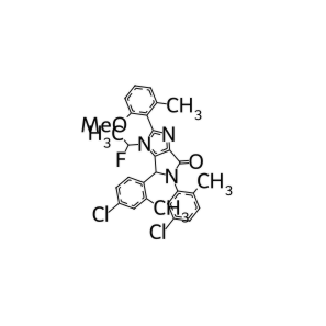 COc1cccc(C)c1-c1nc2c(n1C(C)F)C(c1ccc(Cl)cc1C)N(c1cc(Cl)ccc1C)C2=O